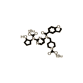 CC(C)(C)OC(=O)N1CCC(CN(C(=O)c2ccc3c(c2)CCO3)c2ccnc(N(C(=O)OC(C)(C)C)C3CCCC3O)n2)CC1